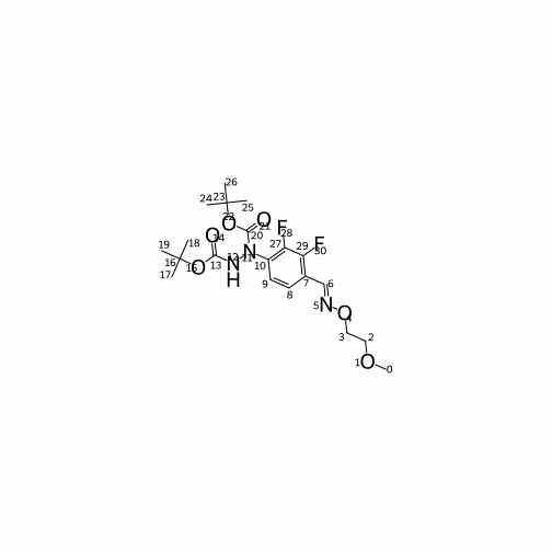 COCCO/N=C/c1ccc(N(NC(=O)OC(C)(C)C)C(=O)OC(C)(C)C)c(F)c1F